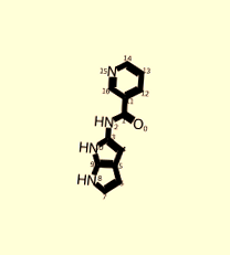 O=C(Nc1cc2cc[nH]c2[nH]1)c1cccnc1